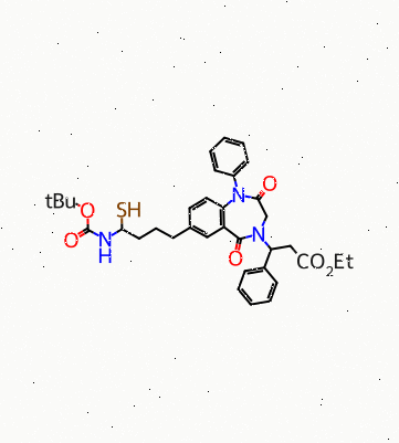 CCOC(=O)CC(c1ccccc1)N1CC(=O)N(c2ccccc2)c2ccc(CCCC(S)NC(=O)OC(C)(C)C)cc2C1=O